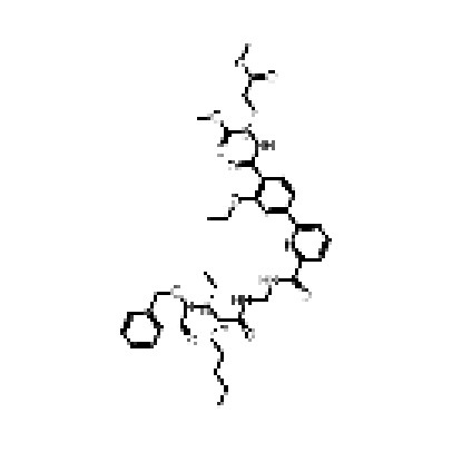 CCCCC[C@@H](C(=O)NCNC(=O)c1cccc(-c2ccc(C(=O)N[C@@H](CCC(=O)OC)C(=O)OC)c(OCC)c2)n1)[C@@H](CC)N(C=O)OCc1ccccc1